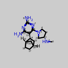 CN[C@H]1CCN(c2nc(N)nc(N)c2[C@H]2C[C@@H]3CC[C@H]2C3)C1